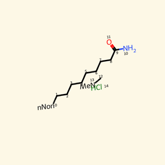 CCCCCCCCCCCCCCCCCC(N)=O.CNC.Cl